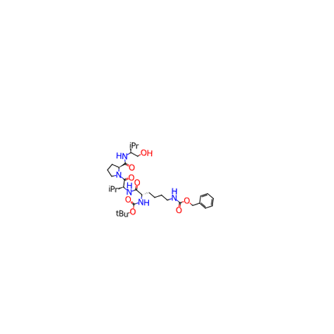 CC(C)[C@H](NC(=O)[C@H](CCCCNC(=O)OCc1ccccc1)NC(=O)OC(C)(C)C)C(=O)N1CCC[C@H]1C(=O)N[C@H](CO)C(C)C